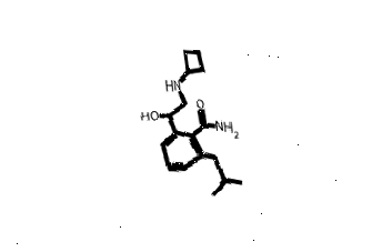 CC(C)Cc1cccc(C(O)CNC2CCC2)c1C(N)=O